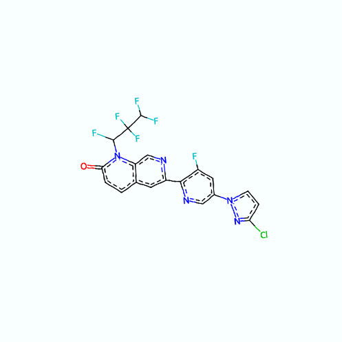 O=c1ccc2cc(-c3ncc(-n4ccc(Cl)n4)cc3F)ncc2n1C(F)C(F)(F)C(F)F